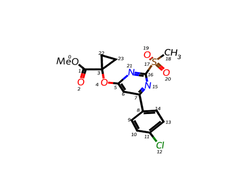 COC(=O)C1(Oc2cc(-c3ccc(Cl)cc3)nc(S(C)(=O)=O)n2)CC1